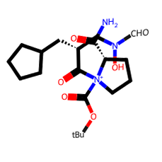 CC(C)(C)OC(=O)[N+]1(C(=O)[C@H](CC2CCCC2)CN(O)C=O)CCC[C@H]1C(N)=O